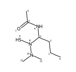 CCCC(NC(C)=O)N(S)N(C)C